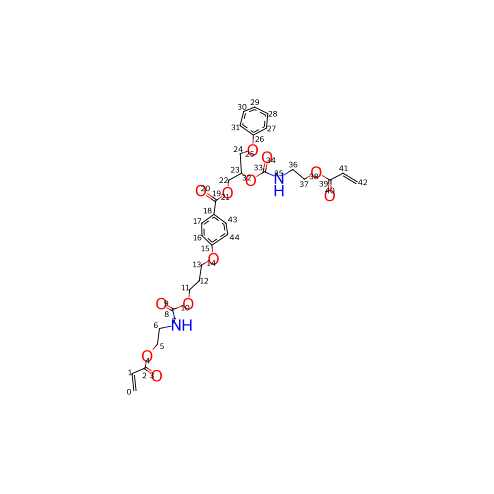 C=CC(=O)OCCNC(=O)OCCCOc1ccc(C(=O)OCC(COc2ccccc2)OC(=O)NCCOC(=O)C=C)cc1